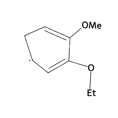 CCOC1=C[CH]CC=C1OC